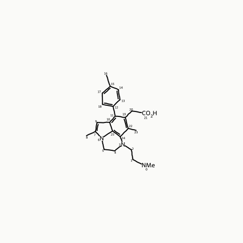 CNCCN1CCn2c(C)cc3c(-c4ccc(C)cc4)c(CC(=O)O)c(C)c1c32